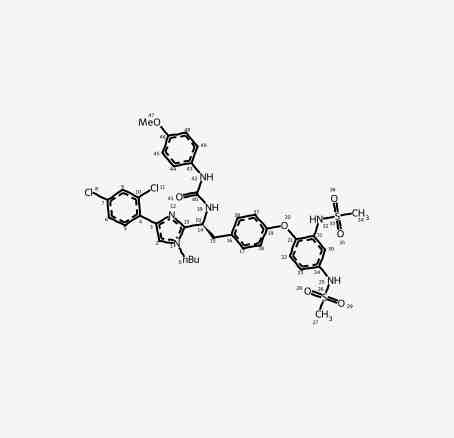 CCCCn1cc(-c2ccc(Cl)cc2Cl)nc1[C@H](Cc1ccc(Oc2ccc(NS(C)(=O)=O)cc2NS(C)(=O)=O)cc1)NC(=O)Nc1ccc(OC)cc1